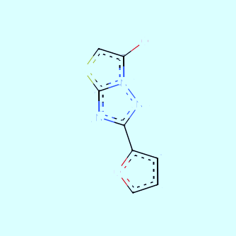 Oc1csc2nc(-c3ccco3)nn12